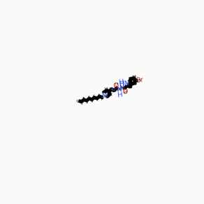 CCCCCCCCCCN1C=CC(/C=C/C(=O)NNC(=O)c2cc3cc(Br)ccc3[nH]2)=CC1